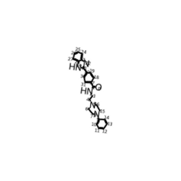 O=C(NCCN1CCN(c2ccccc2)CC1)c1ccc(-c2nc3ccccc3[nH]2)cc1